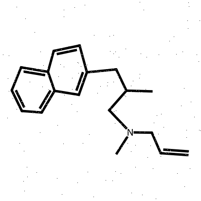 C=CCN(C)CC(C)Cc1ccc2ccccc2c1